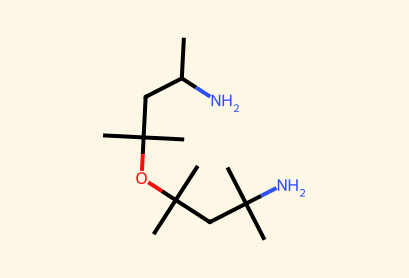 CC(N)CC(C)(C)OC(C)(C)CC(C)(C)N